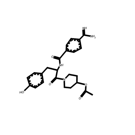 CC(=O)OC1CCN(C(=O)C(Cc2ccc(O)cc2)NC(=O)c2ccc(C(=N)N)cc2)CC1